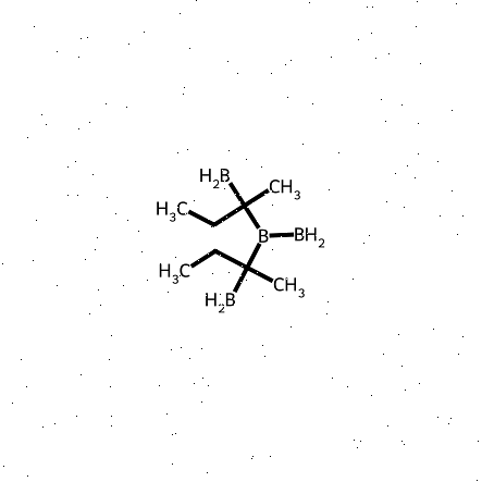 BB(C(B)(C)CC)C(B)(C)CC